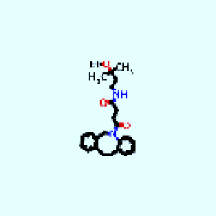 CCOC(C)(C)CCNC(=O)CCC(=O)N1Cc2ccccc2CCc2ccccc21